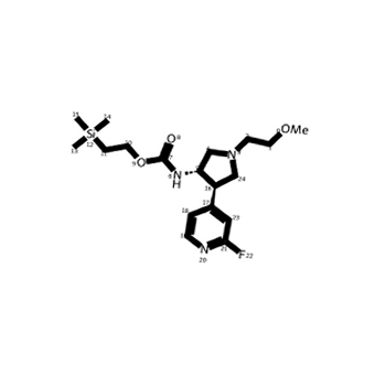 COCCN1C[C@@H](NC(=O)OCC[Si](C)(C)C)[C@H](c2ccnc(F)c2)C1